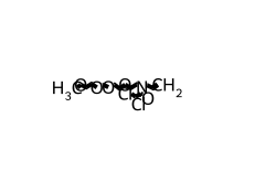 C=CCN(CCOCCOCOCCOC)C(=O)C(Cl)Cl